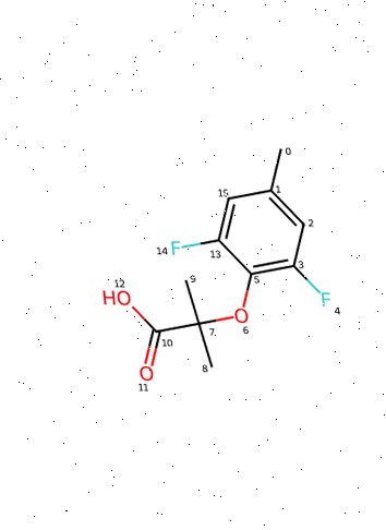 Cc1cc(F)c(OC(C)(C)C(=O)O)c(F)c1